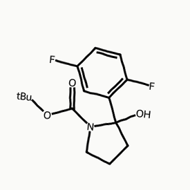 CC(C)(C)OC(=O)N1CCCC1(O)c1cc(F)ccc1F